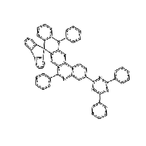 c1ccc(-c2nc(-c3ccccc3)nc(-c3ccc4c(c3)nc(-c3ccccc3)c3cc5c(cc34)N(c3ccccc3)c3ccccc3C53c4ccccc4-c4ccccc43)n2)cc1